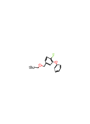 [CH2]C(C)(C)COCc1ccc(F)c(Oc2ccccc2)c1